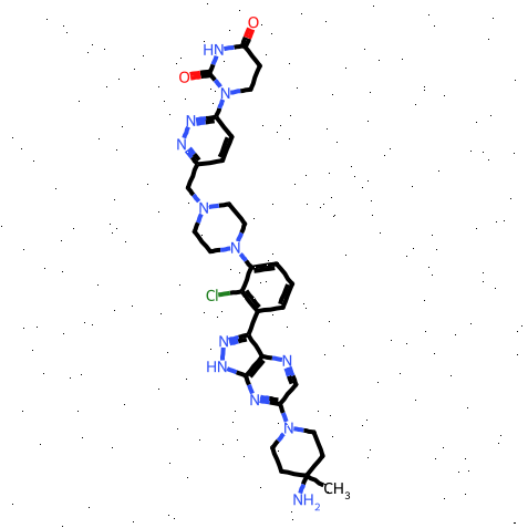 CC1(N)CCN(c2cnc3c(-c4cccc(N5CCN(Cc6ccc(N7CCC(=O)NC7=O)nn6)CC5)c4Cl)n[nH]c3n2)CC1